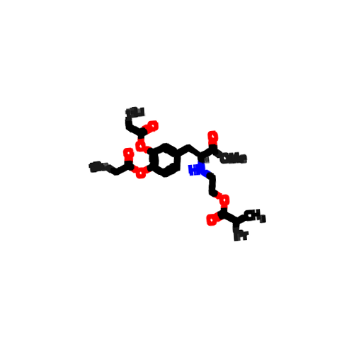 COC(=O)[C@H](Cc1ccc(OC(=O)CC(C)(C)C)c(OC(=O)CC(C)(C)C)c1)NCCOC(=O)C(C)C(C)C